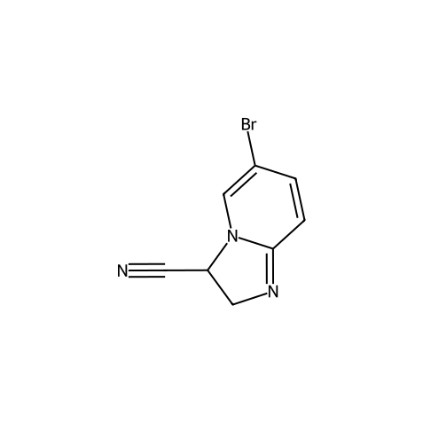 N#CC1CN=C2C=CC(Br)=CN21